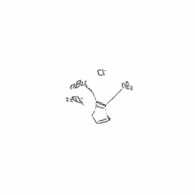 CCCCC1=C(CCCC)CC=C1.[Cl-].[Cl-].[Zr+2]